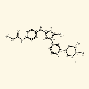 CCCOC(=O)Nc1ccc(Nc2nc(N)n(-c3ccnc(N4C[C@@H](C)N(C(C)=O)[C@@H](C)C4)c3)n2)cc1